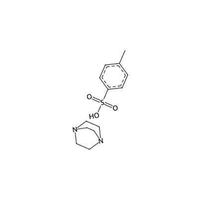 C1CN2CCN1CC2.Cc1ccc(S(=O)(=O)O)cc1